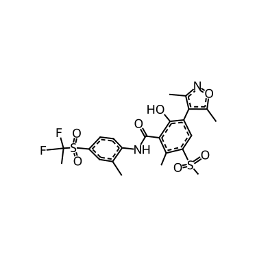 Cc1cc(S(=O)(=O)C(C)(F)F)ccc1NC(=O)c1c(C)c(S(C)(=O)=O)cc(-c2c(C)noc2C)c1O